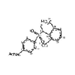 CC(=O)Nc1ccc(S(=O)(=O)C(C)c2c(Cl)cccc2C(=O)O)nc1